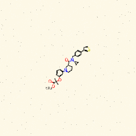 CC(C)(C)OC(=O)C(C)(C)Oc1cccc(N2CCCC(C(=O)N(Cc3ccc(-c4ccsc4)cc3)C3CC3)C2)c1